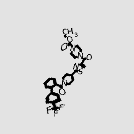 CCOC(=O)N1CCN(C(=O)c2csc(C3CCN(C(=O)c4ccccc4-c4ccc(C(F)(F)F)cc4)CC3)n2)CC1